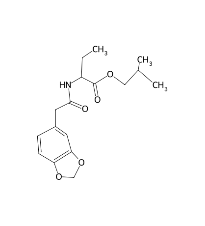 CCC(NC(=O)Cc1ccc2c(c1)OCO2)C(=O)OCC(C)C